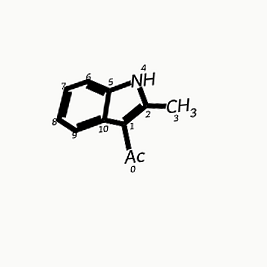 CC(=O)c1c(C)[nH]c2ccccc12